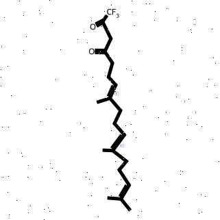 CC(C)=CCC/C(C)=C/CC/C(C)=C/CCC(=O)CC(=O)C(F)(F)F